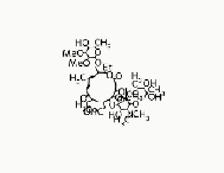 CC[C@H]1OC(=O)C[C@@H](O)[C@H](C)[C@@H](O[C@@H]2O[C@H](C)[C@@H](O[C@H]3C[C@@](C)(O)[C@@H](O)[C@H](C)O3)[C@H](N(C)C)[C@H]2O)[C@@H](CC=O)C[C@@H](C)C(=O)/C=C/C(C)=C/C1CO[C@@H]1O[C@H](C)[C@@H](O)[C@@H](OC)[C@H]1OC.[Co]